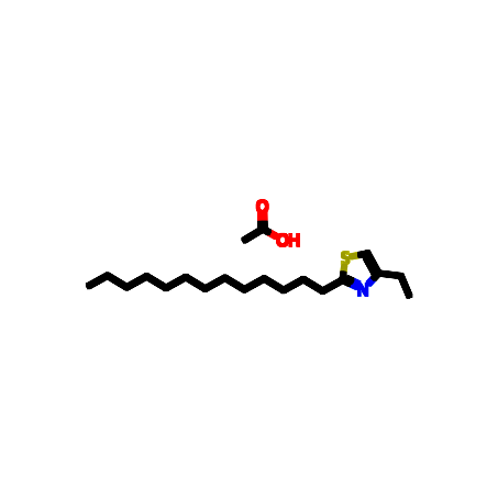 CC(=O)O.CCCCCCCCCCCCCc1nc(CC)cs1